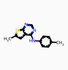 Cc1ccc(Nc2ncnc3sc(C)cc23)cc1